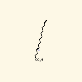 C=CCCCCCCCC/C=C/CCC(=O)O